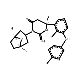 Cc1ccc(Nc2cccc([C@]3(C)CC(=O)N(C4C[C@H]5CC[C@@H](C4)O5)C(=N)N3)c2Cl)cn1